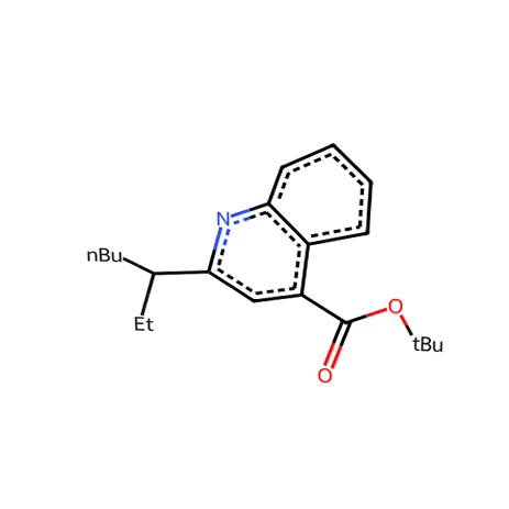 CCCCC(CC)c1cc(C(=O)OC(C)(C)C)c2ccccc2n1